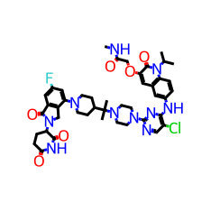 CNC(=O)COc1cc2cc(Nc3nc(N4CCN(C(C)(C)C5CCN(c6cc(F)cc7c6CN(C6CCC(=O)NC6=O)C7=O)CC5)CC4)ncc3Cl)ccc2n(C(C)C)c1=O